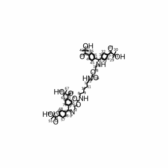 CN(CCOC(=O)NCCCCCCNC(=O)OCCNC(c1ccc(C(=O)C(C)(C)O)cc1)c1ccc(C(=O)C(C)(C)O)cc1)C(c1ccc(C(=O)C(C)(C)O)cc1)c1ccc(C(=O)C(C)(C)O)cc1